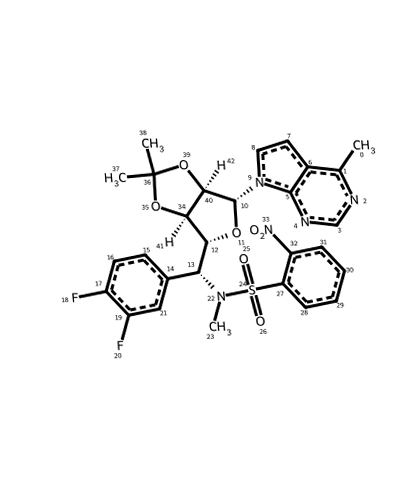 Cc1ncnc2c1ccn2[C@@H]1O[C@H]([C@@H](c2ccc(F)c(F)c2)N(C)S(=O)(=O)c2ccccc2[N+](=O)[O-])[C@H]2OC(C)(C)O[C@H]21